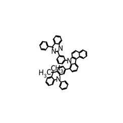 CC1(C)c2ccccc2N(c2ccccc2)c2cc(-c3cccc4c5c6ccccc6ccc5n(-c5cccc(-c6nc(-c7ccccc7)c7ccccc7n6)c5)c34)ccc21